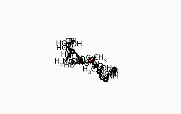 Cc1c(-c2ccc(N3CCc4cccc(C(=O)Nc5nc6ncccc6s5)c4C3)nc2C(=O)O)cnn1CC12CC3(C)CC(C)(C1)CC(OCCN(CCCP(=O)(O)O)C(=O)OCC=Cc1ccc(O[C@@H]4O[C@H](C(=O)O)[C@@H](O)[C@H](O)[C@H]4O)c(NC(=O)CCN)c1)(C3)C2